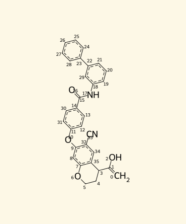 C=C(O)C1CCOc2cc(Oc3ccc(C(=O)Nc4cccc(-c5ccccc5)c4)cc3)c(C#N)cc21